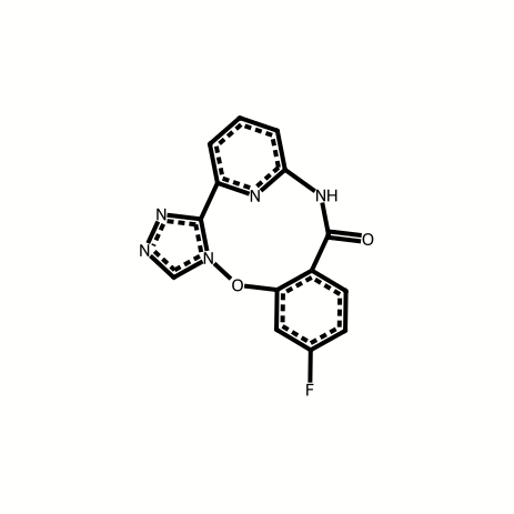 O=C1Nc2cccc(n2)-c2nncn2Oc2cc(F)ccc21